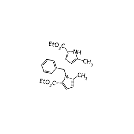 CCOC(=O)c1ccc(C)[nH]1.CCOC(=O)c1ccc(C)n1Cc1ccccc1